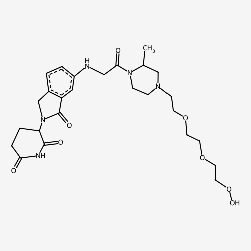 CC1CN(CCOCCOCCOO)CCN1C(=O)CNc1ccc2c(c1)C(=O)N(C1CCC(=O)NC1=O)C2